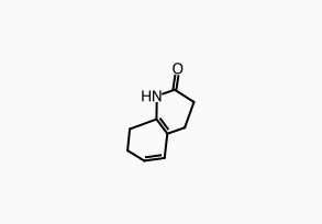 O=C1CCC2=C(CCC=C2)N1